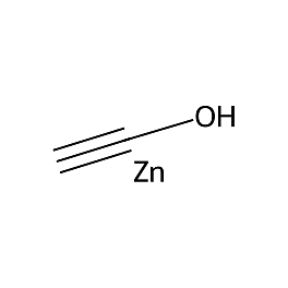 C#CO.[Zn]